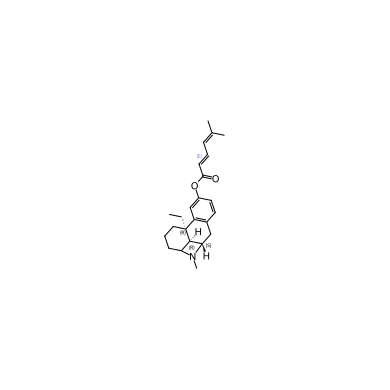 CC[C@@]12CCCC3[C@@H]1[C@H](Cc1ccc(OC(=O)/C=C/C=C(C)C)cc12)N3C